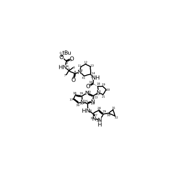 CC(C)(C)OC(=O)NC(C)(C)C(=O)N1CCC[C@@H](NC(=O)[C@@H]2CCCN2c2nc(Nc3cc(C4CC4)[nH]n3)n3cccc3n2)C1